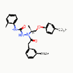 COc1cccc(CC(=O)N(NC(=O)Nc2ccccc2C)[C@@H](C)COc2ccc(C(=O)O)cc2)c1